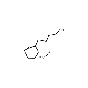 CS(=O)(=O)O.OCCCCC1CCCCC1